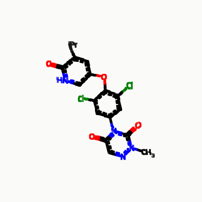 CC(C)c1cc(Oc2c(Cl)cc(-n3c(=O)cnn(C)c3=O)cc2Cl)c[nH]c1=O